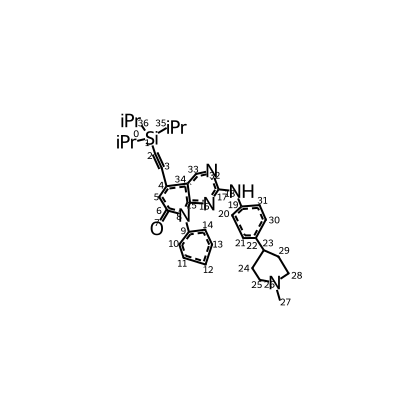 CC(C)[Si](C#Cc1cc(=O)n(-c2ccccc2)c2nc(Nc3ccc(C4CCN(C)CC4)cc3)ncc12)(C(C)C)C(C)C